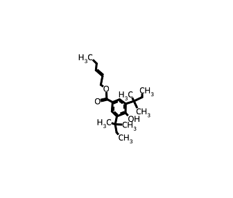 CCC=CCOC(=O)c1cc(C(C)(C)CC)c(O)c(C(C)(C)CC)c1